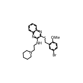 COc1ccc(Br)cc1CSc1nc2ccccc2nc1NCCN1CCCCC1